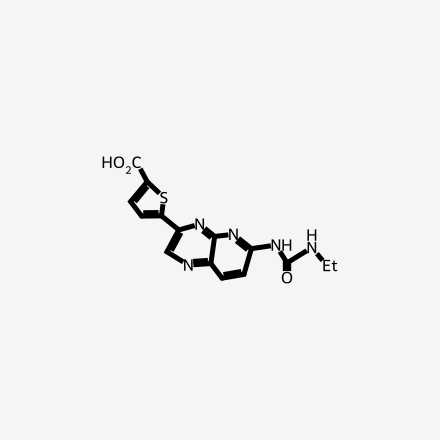 CCNC(=O)Nc1ccc2ncc(-c3ccc(C(=O)O)s3)nc2n1